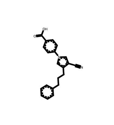 N#Cc1cn(-c2ccc(C(=O)O)cc2)cc1CCCc1ccccc1